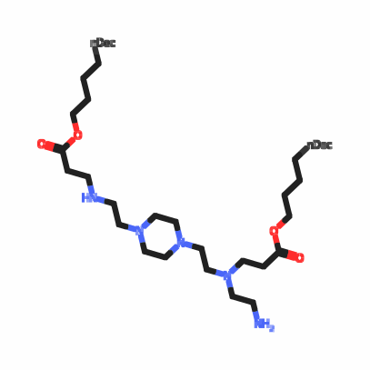 CCCCCCCCCCCCCCOC(=O)CCNCCN1CCN(CCN(CCN)CCC(=O)OCCCCCCCCCCCCCC)CC1